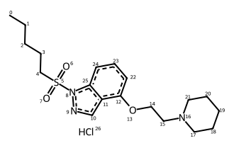 CCCCCS(=O)(=O)n1ncc2c(OCCN3CCCCC3)cccc21.Cl